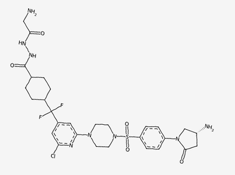 NCC(=O)NNC(=O)C1CCC(C(F)(F)c2cc(Cl)nc(N3CCN(S(=O)(=O)c4ccc(N5C[C@H](N)CC5=O)cc4)CC3)c2)CC1